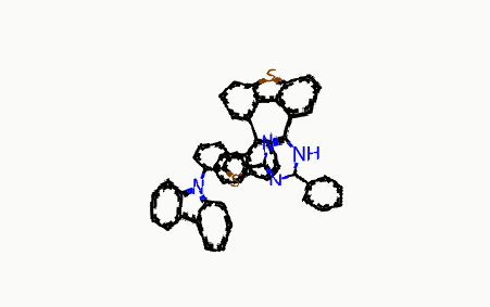 c1ccc(C2=NC(c3ccccc3)NC(c3cccc4sc5cccc(-c6cccc7sc8c(-n9c%10ccccc%10c%10ccccc%109)cccc8c67)c5c34)=N2)cc1